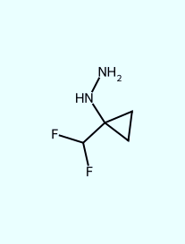 NNC1(C(F)F)CC1